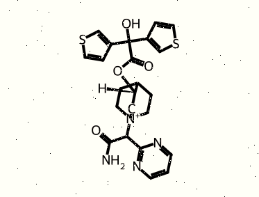 NC(=O)C(c1ncccn1)[N+]12CCC(CC1)[C@@H](OC(=O)C(O)(c1ccsc1)c1ccsc1)C2